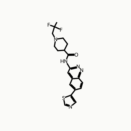 CC(F)(F)CN1CCC(C(=O)Nc2cc3cc(-c4cncs4)ccc3nn2)CC1